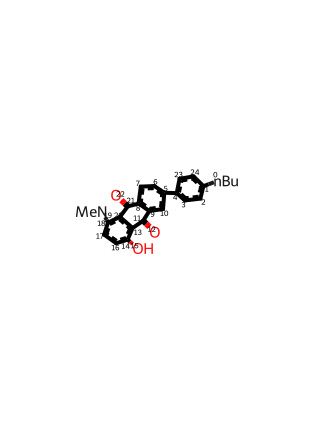 CCCCc1ccc(-c2ccc3c(c2)C(=O)c2c(O)ccc(NC)c2C3=O)cc1